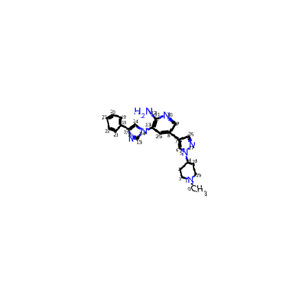 CN1CCC(n2cc(-c3cnc(N)c(-n4cnc(-c5ccccc5)c4)c3)cn2)CC1